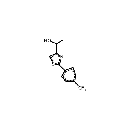 CC(O)c1csc(-c2ccc(C(F)(F)F)cc2)n1